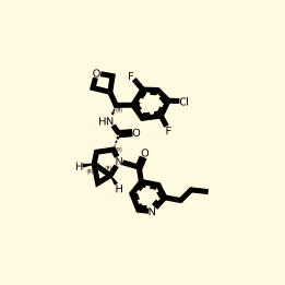 CCCc1cc(C(=O)N2[C@@H](C(=O)N[C@@H](c3cc(F)c(Cl)cc3F)C3COC3)C[C@H]3C[C@H]32)ccn1